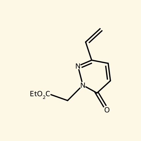 C=Cc1ccc(=O)n(CC(=O)OCC)n1